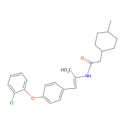 CC1CCC(CC(=O)N/C(=C/c2ccc(Oc3ccccc3Cl)cc2)C(=O)O)CC1